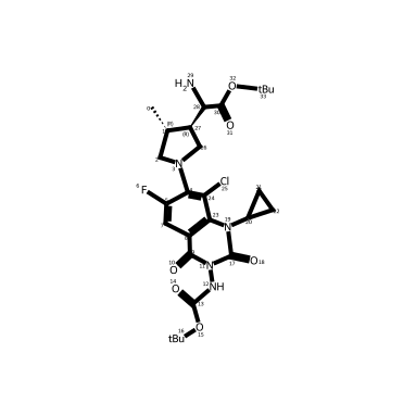 C[C@H]1CN(c2c(F)cc3c(=O)n(NC(=O)OC(C)(C)C)c(=O)n(C4CC4)c3c2Cl)C[C@@H]1C(N)C(=O)OC(C)(C)C